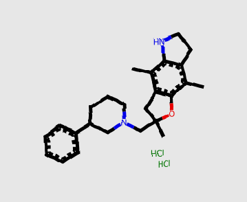 Cc1c2c(c(C)c3c1NCC3)OC(C)(CN1CCCC(c3ccccc3)C1)C2.Cl.Cl